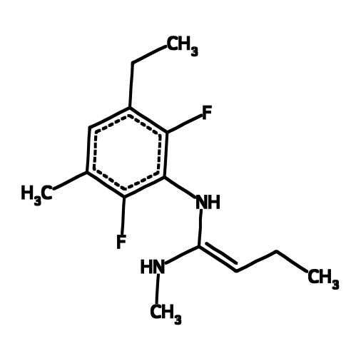 CC/C=C(/NC)Nc1c(F)c(C)cc(CC)c1F